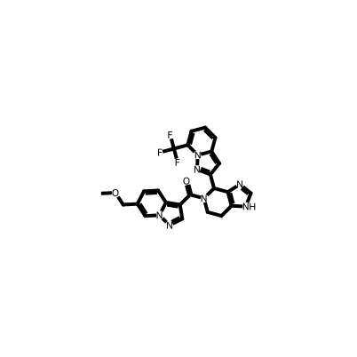 COCc1ccc2c(C(=O)N3CCc4[nH]cnc4C3c3cc4cccc(C(F)(F)F)n4n3)cnn2c1